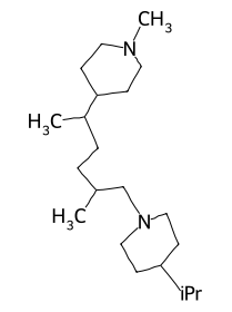 CC(CCC(C)C1CCN(C)CC1)CN1CCC(C(C)C)CC1